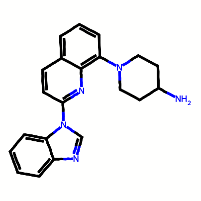 NC1CCN(c2cccc3ccc(-n4cnc5ccccc54)nc23)CC1